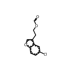 O=[C]OCCc1coc2ccc(Cl)cc12